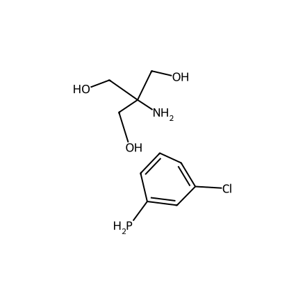 NC(CO)(CO)CO.Pc1cccc(Cl)c1